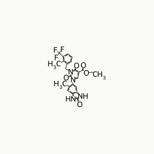 CCOC(=O)c1cn(-c2cc3[nH]c(=O)[nH]c3cc2C)c(=O)n(Cc2cccc(C(F)(F)F)c2C)c1=O